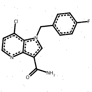 NC(=O)c1cn(Cc2ccc(F)cc2)c2c(Cl)ccnc12